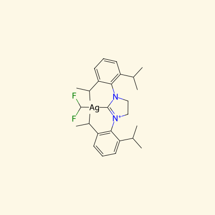 CC(C)c1cccc(C(C)C)c1N1CC[N+](c2c(C(C)C)cccc2C(C)C)=[C]1[Ag][CH](F)F